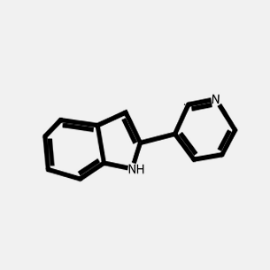 [c]1ncccc1-c1cc2ccccc2[nH]1